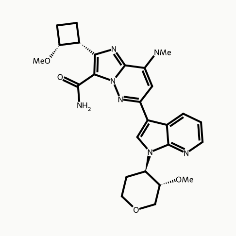 CNc1cc(-c2cn([C@@H]3CCOC[C@H]3OC)c3ncccc23)nn2c(C(N)=O)c([C@H]3CC[C@H]3OC)nc12